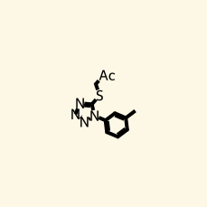 CC(=O)CSc1nnnn1-c1cccc(C)c1